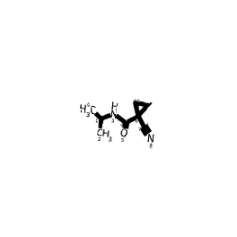 CC(C)NC(=O)C1(C#N)CC1